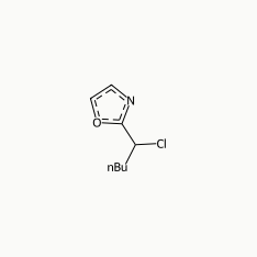 CCCCC(Cl)c1ncco1